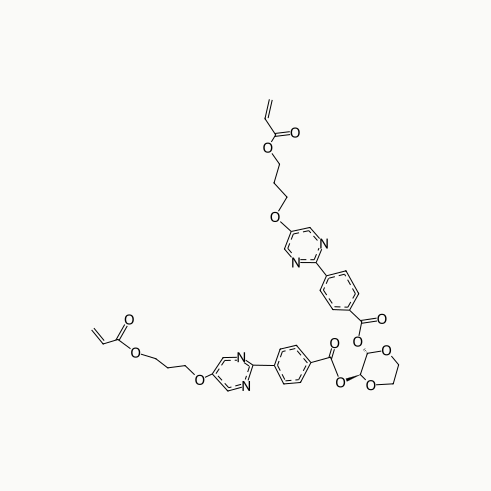 C=CC(=O)OCCCOc1cnc(-c2ccc(C(=O)O[C@@H]3OCCO[C@H]3OC(=O)c3ccc(-c4ncc(OCCCOC(=O)C=C)cn4)cc3)cc2)nc1